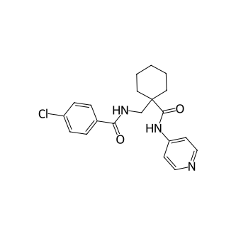 O=C(NCC1(C(=O)Nc2ccncc2)CCCCC1)c1ccc(Cl)cc1